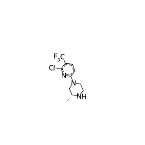 C[C@@H]1CN(c2ccc(C(F)(F)F)c(Cl)n2)CCN1